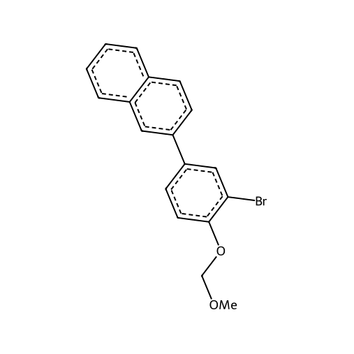 COCOc1ccc(-c2ccc3ccccc3c2)cc1Br